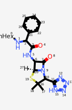 CCCCCCNC(C(=O)NC1C(=O)N2C(c3nnn[nH]3)C(C)(C)S[C@@H]12)c1ccccc1